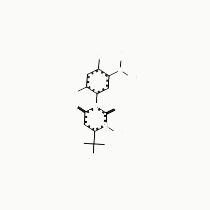 Cn1c(C(F)(F)F)cc(=O)n(-c2cc([S+](C)[O-])c(Br)cc2F)c1=O